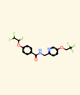 O=C(NCc1ccc(OCC(F)(F)F)cn1)c1ccc(OC(F)C(F)F)cc1